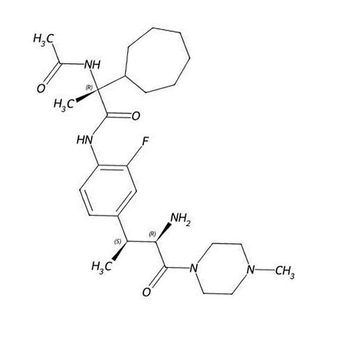 CC(=O)N[C@@](C)(C(=O)Nc1ccc([C@H](C)[C@@H](N)C(=O)N2CCN(C)CC2)cc1F)C1CCCCCC1